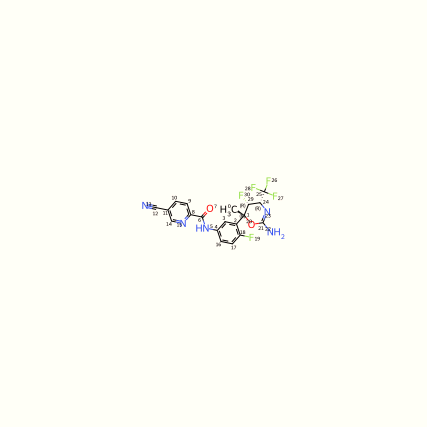 C[C@]1(c2cc(NC(=O)c3ccc(C#N)cn3)ccc2F)OC(N)=N[C@@H](C(F)(F)F)[C@H]1F